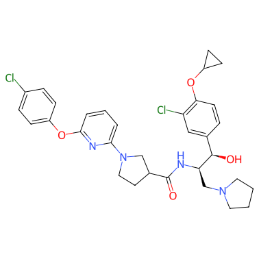 O=C(N[C@H](CN1CCCC1)[C@H](O)c1ccc(OC2CC2)c(Cl)c1)C1CCN(c2cccc(Oc3ccc(Cl)cc3)n2)C1